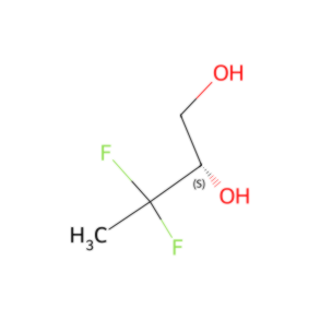 CC(F)(F)[C@@H](O)CO